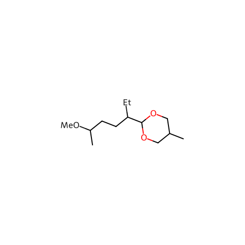 CCC(CCC(C)OC)C1OCC(C)CO1